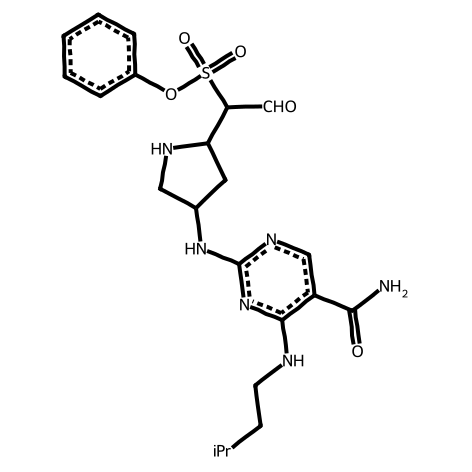 CC(C)CCNc1nc(NC2CNC(C(C=O)S(=O)(=O)Oc3ccccc3)C2)ncc1C(N)=O